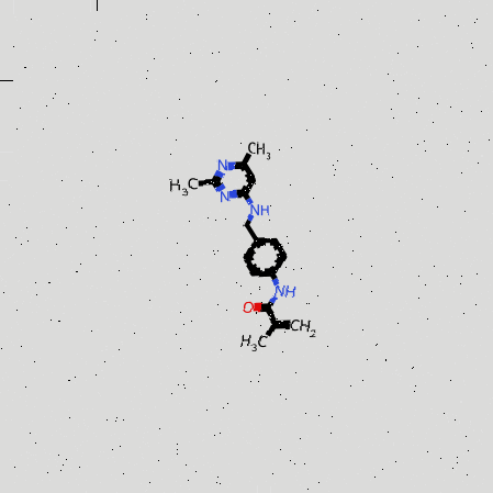 C=C(C)C(=O)Nc1ccc(CNc2cc(C)nc(C)n2)cc1